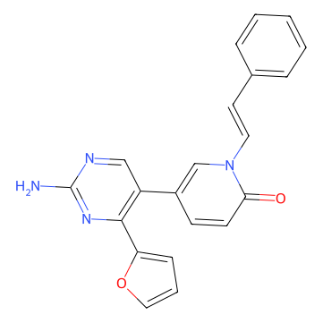 Nc1ncc(-c2ccc(=O)n(C=Cc3ccccc3)c2)c(-c2ccco2)n1